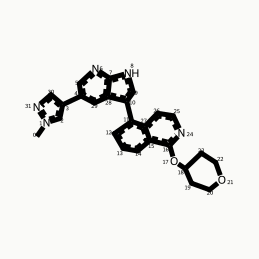 Cn1cc(-c2cnc3[nH]cc(-c4cccc5c(OC6CCOCC6)nccc45)c3c2)cn1